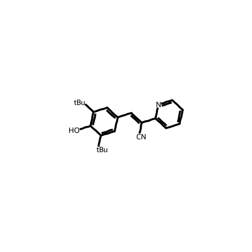 CC(C)(C)c1cc(/C=C(\C#N)c2ccccn2)cc(C(C)(C)C)c1O